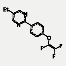 CCc1cnc(-c2ccc(OC(F)=C(F)F)cc2)nc1